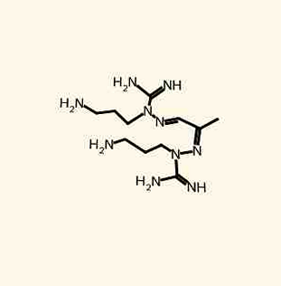 CC(C=NN(CCCN)C(=N)N)=NN(CCCN)C(=N)N